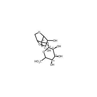 O=C(O)C1O[C@@H](O[C@@H]2C3COC2C(O)[C@H](O)O3)[C@@H](O)[C@@H](O)[C@H]1O